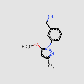 NCc1cccc(-n2nc(C(F)(F)F)cc2OC(=O)O)c1